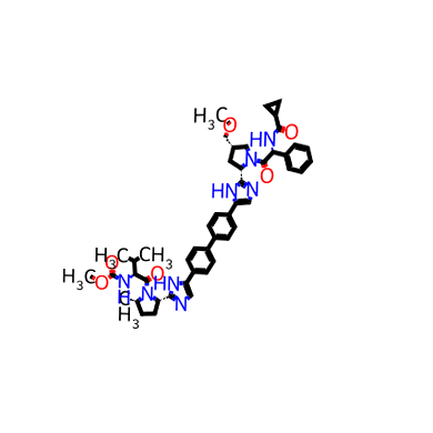 COC[C@H]1C[C@@H](c2ncc(-c3ccc(-c4ccc(-c5cnc([C@@H]6CC[C@H](C)N6C(=O)[C@@H](NC(=O)OC)C(C)C)[nH]5)cc4)cc3)[nH]2)N(C(=O)[C@H](NC(=O)C2CC2)c2ccccc2)C1